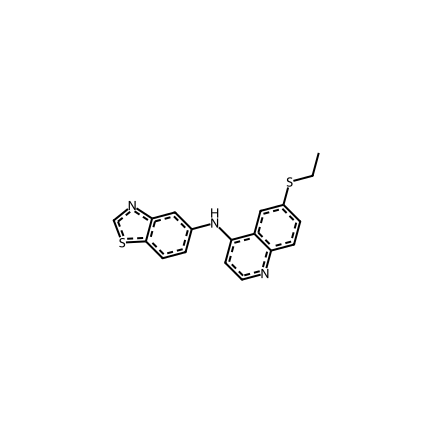 CCSc1ccc2nccc(Nc3ccc4scnc4c3)c2c1